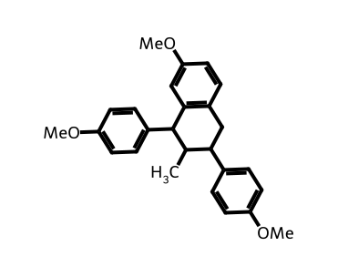 COc1ccc(C2Cc3ccc(OC)cc3C(c3ccc(OC)cc3)C2C)cc1